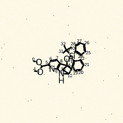 COC(OC)c1ccc2c(n1)NC1CC2(O[Si](c2ccccc2)(c2ccccc2)C(C)(C)C)C1